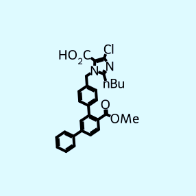 CCCCc1nc(Cl)c(C(=O)O)n1Cc1ccc(-c2cc(-c3ccccc3)ccc2C(=O)OC)cc1